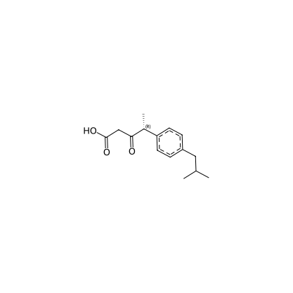 CC(C)Cc1ccc([C@@H](C)C(=O)CC(=O)O)cc1